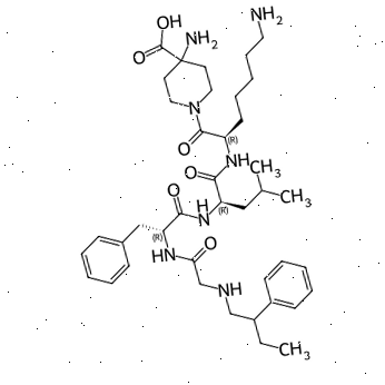 CCC(CNCC(=O)N[C@H](Cc1ccccc1)C(=O)N[C@H](CC(C)C)C(=O)N[C@H](CCCCCN)C(=O)N1CCC(N)(C(=O)O)CC1)c1ccccc1